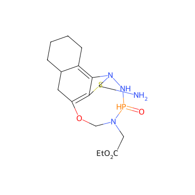 CCOC(=O)CN1COC2=C3SC(N)N(N[PH]1=O)C3=C1CCCCC1C2